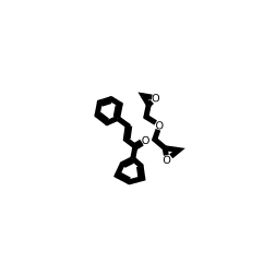 C(OCC1CO1)C1CO1.O=C(/C=C/c1ccccc1)c1ccccc1